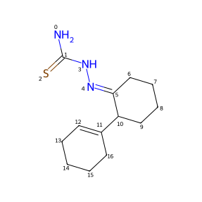 NC(=S)N/N=C1\CCCCC1C1=CCCCC1